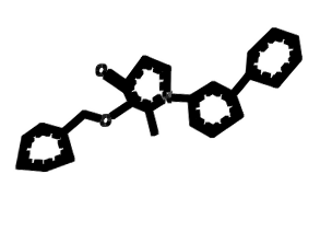 Cc1c(OCc2ccccc2)c(=O)ccn1-c1cccc(-c2ccccc2)c1